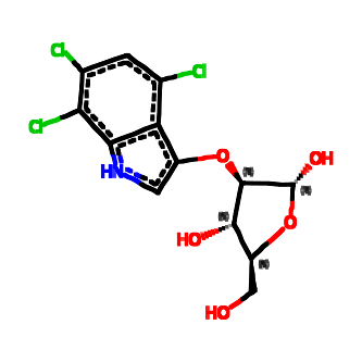 OC[C@@H]1O[C@@H](O)[C@H](Oc2c[nH]c3c(Cl)c(Cl)cc(Cl)c23)[C@H]1O